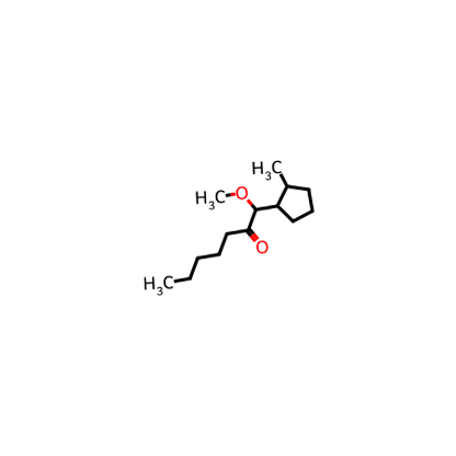 CCCCCC(=O)C(OC)C1CCCC1C